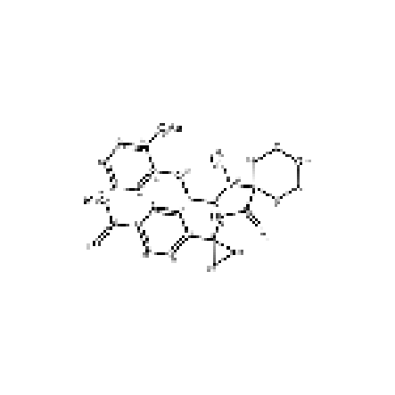 COC(=O)c1ccc(C2(NC(=O)C3(N(C)CCOc4ccccc4OC)CCOCC3)CC2)cc1